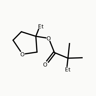 CCC1(OC(=O)C(C)(C)CC)CCOC1